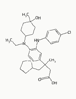 CCN(c1ccc(C(C)(CC(=O)O)CC2CCCC2)cc1Nc1ccc(Cl)cc1)C1CCC(C)(O)CC1